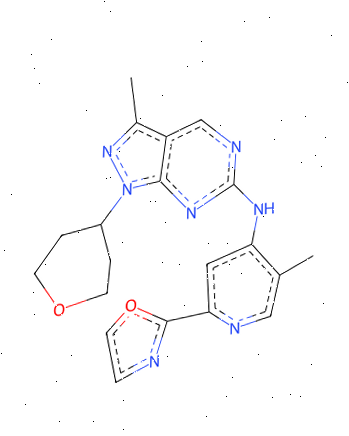 Cc1cnc(-c2ncco2)cc1Nc1ncc2c(C)nn(C3CCOCC3)c2n1